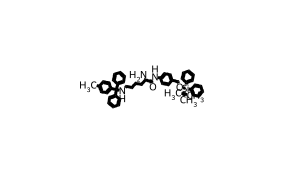 Cc1ccc(C(NCCCC[C@H](N)C(=O)Nc2ccc(CO[Si](c3ccccc3)(c3ccccc3)C(C)(C)C)cc2)(c2ccccc2)c2ccccc2)cc1